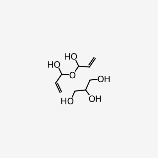 C=CC(O)OC(O)C=C.OCC(O)CO